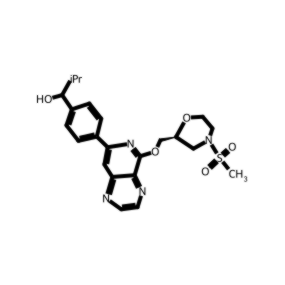 CC(C)C(O)c1ccc(-c2cc3nccnc3c(OC[C@@H]3CN(S(C)(=O)=O)CCO3)n2)cc1